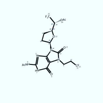 CC(=O)Nc1nc2c(c(=O)[nH]1)n(CCC(F)(F)F)c(=O)n2[C@H]1CC[C@@H]([C@@H](OC(C)=O)C(F)(F)F)O1